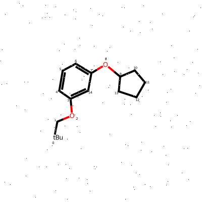 CC(C)(C)COc1cccc(OC2CCCC2)c1